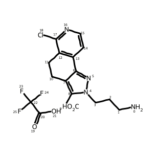 NCCCn1nc2c(c1C(=O)O)CCc1c-2ccnc1Cl.O=C(O)C(F)(F)F